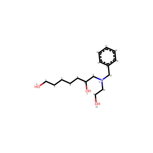 OCCCCCC(O)CN(CCO)Cc1ccccc1